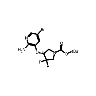 CC(C)(C)OC(=O)N1C[C@H](Oc2cc(Br)cnc2N)C(F)(F)C1